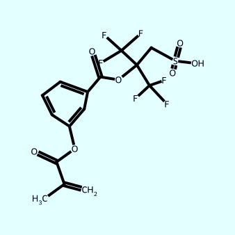 C=C(C)C(=O)Oc1cccc(C(=O)OC(CS(=O)(=O)O)(C(F)(F)F)C(F)(F)F)c1